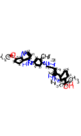 COC1CCc2c(Nc3ccc(NCCc4c[nH]c5c(C(C)(C)O)cccc45)c(C)c3)ccnc21